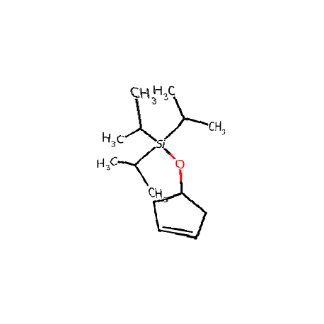 CC(C)[Si](OC1CC=CC1)(C(C)C)C(C)C